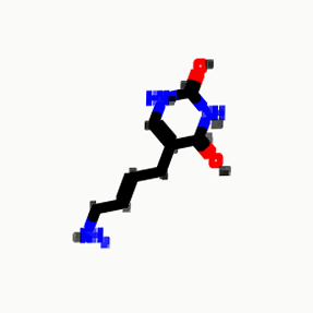 NCC=CCc1c[nH]c(=O)[nH]c1=O